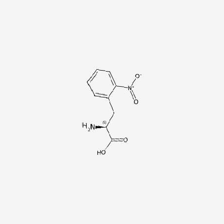 N[C@@H](Cc1ccccc1[N+](=O)[O-])C(=O)O